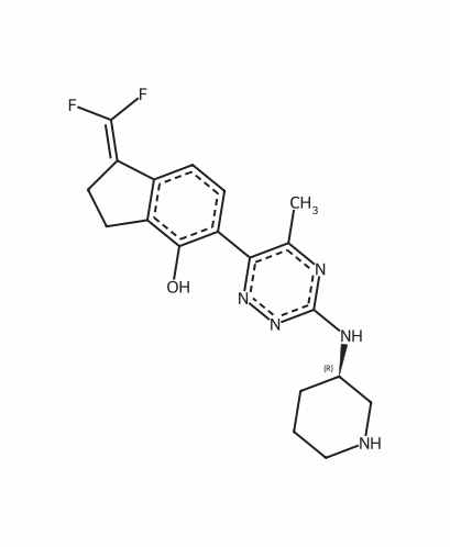 Cc1nc(N[C@@H]2CCCNC2)nnc1-c1ccc2c(c1O)CCC2=C(F)F